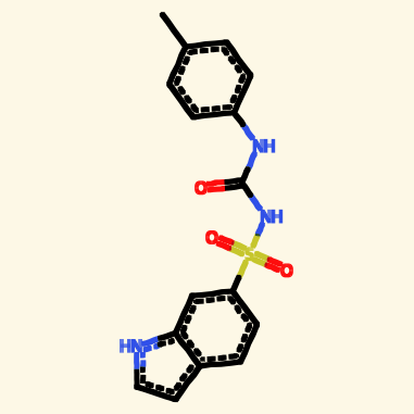 Cc1ccc(NC(=O)NS(=O)(=O)c2ccc3cc[nH]c3c2)cc1